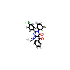 Cn1c2ccccc2c(=O)c2c(=O)n(C3CCCCC3)c(-c3ccc(Cl)cc3)nc21